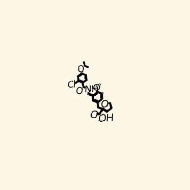 COc1ccc(CC2(C(=O)O)CCCO2)cc1CNC(=O)c1ccc(OC(C)C)cc1Cl